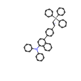 C(=C\[Si](c1ccccc1)(c1ccccc1)c1ccccc1)/c1ccc(-c2ccc(N(c3ccccc3)c3ccccc3)c3ccccc23)cc1